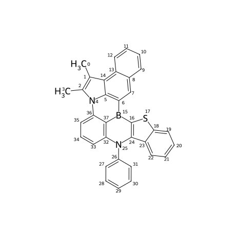 Cc1c(C)n2c3c(cc4ccccc4c13)B1c3sc4ccccc4c3N(c3ccccc3)c3cccc-2c31